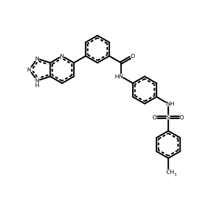 Cc1ccc(S(=O)(=O)Nc2ccc(NC(=O)c3cccc(-c4ccc5[nH]nnc5n4)c3)cc2)cc1